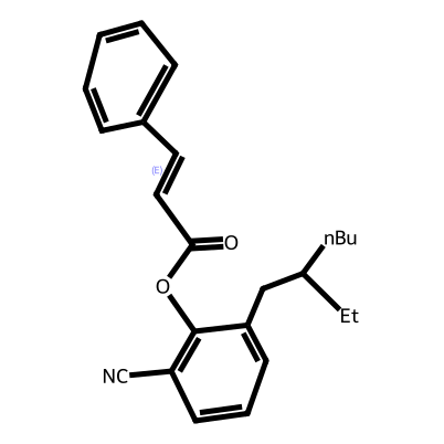 CCCCC(CC)Cc1cccc(C#N)c1OC(=O)/C=C/c1ccccc1